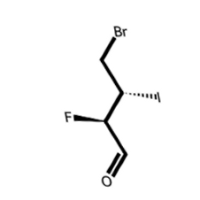 O=C[C@@H](F)[C@@H](I)CBr